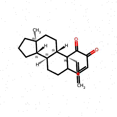 C=C=C[C@]12C(=O)C(=O)C=CC1CC[C@H]1[C@@H]3CCC[C@@]3(C)CC[C@@H]12